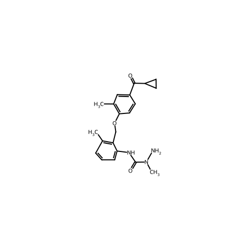 Cc1cc(C(=O)C2CC2)ccc1OCc1c(C)cccc1NC(=O)N(C)N